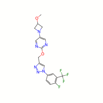 COC1CN(c2cnc(OCc3cn(-c4ccc(F)c(C(F)(F)F)c4)nn3)nc2)C1